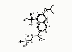 CC(C)Oc1cc(C(F)(F)F)c2cc(C(O)CCC(F)(F)F)ccc2n1